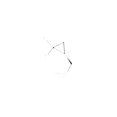 O=C(O)C[C@@H]1CC1(F)F